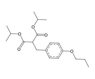 CCCOc1ccc(CC(C(=O)OC(C)C)C(=O)OC(C)C)cc1